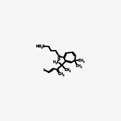 C=C(/C=C/I)C(C)(C)C1=CC(C)(C)C=CC=C1NCCCS(=O)(=O)O